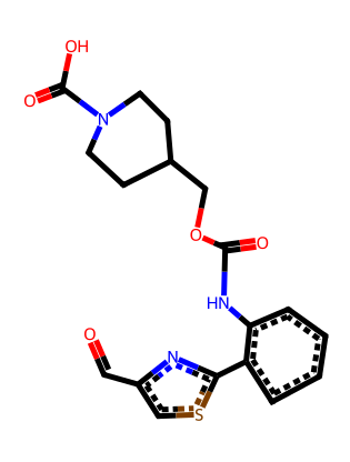 O=Cc1csc(-c2ccccc2NC(=O)OCC2CCN(C(=O)O)CC2)n1